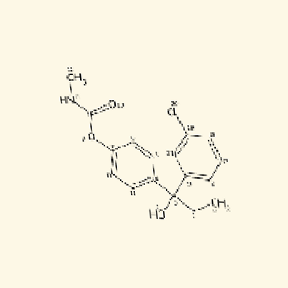 CCC(O)(c1ccc(OC(=O)NC)cc1)c1cccc(Cl)c1